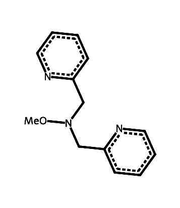 CON(Cc1ccccn1)Cc1ccccn1